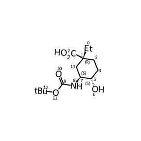 CC[C@@]1(C(=O)O)CC[C@H](O)[C@@H](NC(=O)OC(C)(C)C)C1